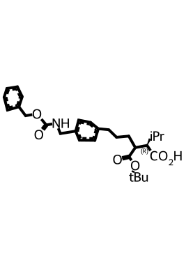 CC(C)[C@@H](C(=O)O)C(CCCc1ccc(CNC(=O)OCc2ccccc2)cc1)C(=O)OC(C)(C)C